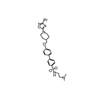 CC(C)c1noc(N2CCC(COc3ccc(-c4ccc(S(=O)(=O)NCCN(C)C)cc4)cc3)CC2)n1